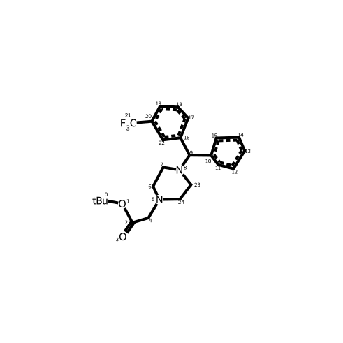 CC(C)(C)OC(=O)CN1CCN(C(c2ccccc2)c2cccc(C(F)(F)F)c2)CC1